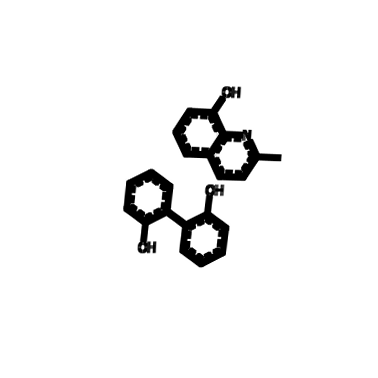 Cc1ccc2cccc(O)c2n1.Oc1ccccc1-c1ccccc1O